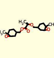 C=C(OCC1CCC2(C)OC2C1)C(=O)OCC1CCC2(C)OC2C1